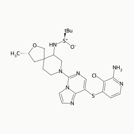 C[C@H]1CC2(CCN(c3ncc(Sc4ccnc(N)c4Cl)c4nccn34)CC2N[S@+]([O-])C(C)(C)C)CO1